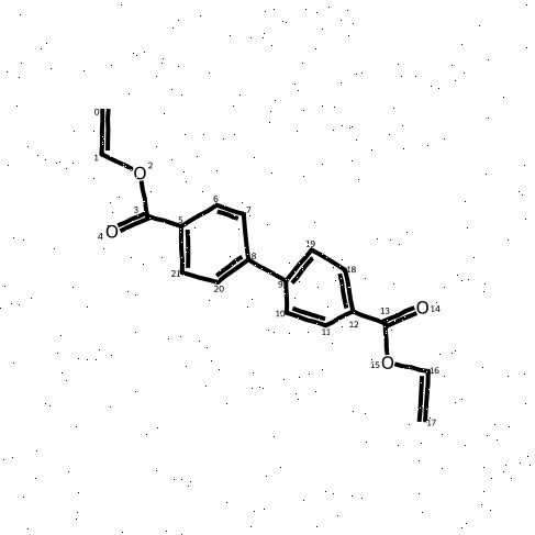 C=COC(=O)c1ccc(-c2ccc(C(=O)OC=C)cc2)cc1